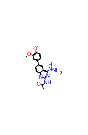 COc1ccc(-c2ccc3nc(NC(C)=O)nc(NN)c3c2)cc1OC